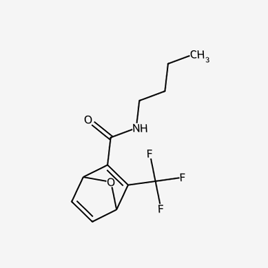 CCCCNC(=O)C1=C(C(F)(F)F)C2C=CC1O2